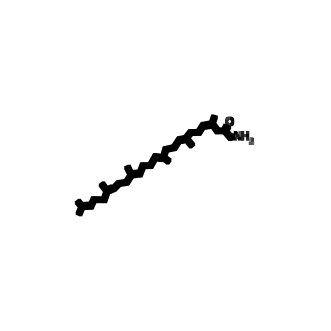 CC(C)=CCC/C(C)=C/CC/C(C)=C/CC/C=C(\C)CC/C=C(\C)CCC=C(C)CC(=O)CN